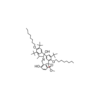 CCCCCCCCOc1c(C(C)(C)C)cc(C(O)(c2cc(C(C)(C)C)c(OCCCCCCCC)c(C(C)(C)C)c2)C(N=Cc2cc(C(=O)OC)ccc2O)C(C)C)cc1C(C)(C)C